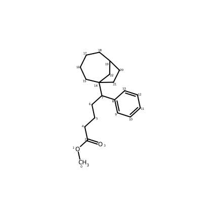 COC(=O)CCCC(c1ccccc1)C12CCCCC(CC1)C2